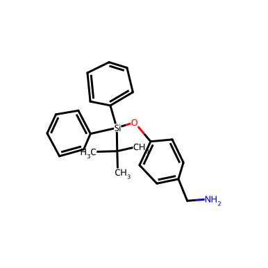 CC(C)(C)[Si](Oc1ccc(CN)cc1)(c1ccccc1)c1ccccc1